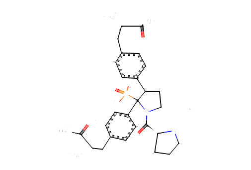 COC(=O)[C@H](Cc1ccc(C2CCN(C(=O)[C@@H]3CCCN3)C2(c2ccc(C[C@H](NC(C)=O)C(=O)OC)cc2)P(=O)(O)O)cc1)NC(C)=O.Cl